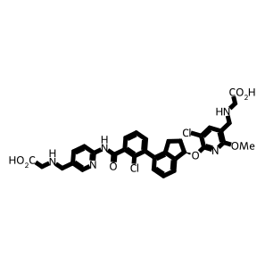 COc1nc(O[C@H]2CCc3c(-c4cccc(C(=O)Nc5ccc(CNCC(=O)O)cn5)c4Cl)cccc32)c(Cl)cc1CNCC(=O)O